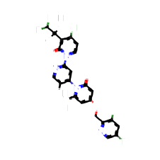 Cc1cnc(-n2ccc(Cl)c(C(C)(C)C(F)F)c2=O)cc1-n1c(C)cc(OCc2ncc(F)cc2F)cc1=O